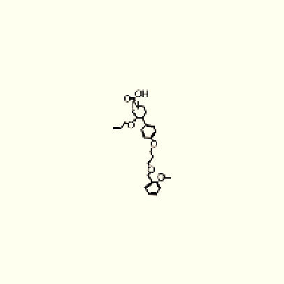 C=CCOC1CN(C(=O)O)CCC1c1ccc(OCCCOCc2ccccc2OC)cc1